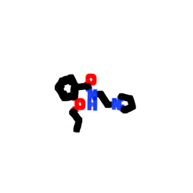 CCCOc1ccccc1C(=O)NCCN1CCCC1